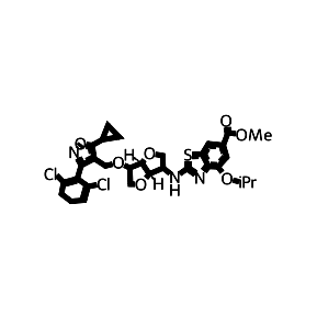 COC(=O)c1cc(OC(C)C)c2nc(NC3CO[C@@H]4C(OCc5c(C6=C(Cl)CCC=C6Cl)noc5C5CC5)CO[C@H]34)sc2c1